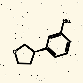 CC(C)(C)c1cccc([C@H]2CCOC2)c1